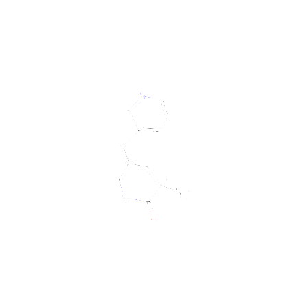 O=c1[nH]cc(Cc2cccnc2)cc1[N+](=O)[O-]